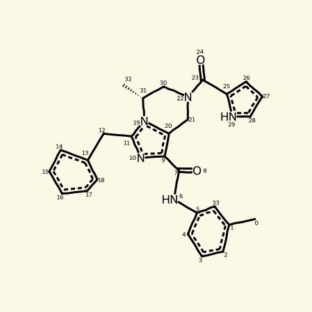 Cc1cccc(NC(=O)c2nc(Cc3ccccc3)n3c2CN(C(=O)c2ccc[nH]2)C[C@H]3C)c1